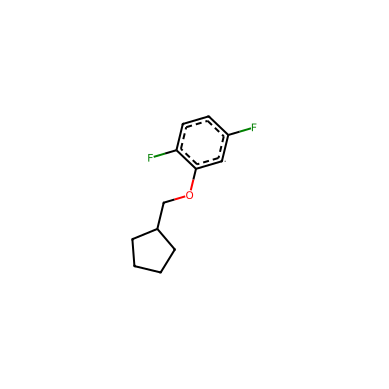 Fc1[c]c(OCC2CCCC2)c(F)cc1